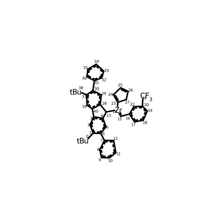 CC(C)(C)c1cc2c(cc1-c1ccccc1)[CH]([Zr](=[CH]c1cccc(C(F)(F)F)c1)[C]1=CC=CC1)c1cc(-c3ccccc3)c(C(C)(C)C)cc1-2